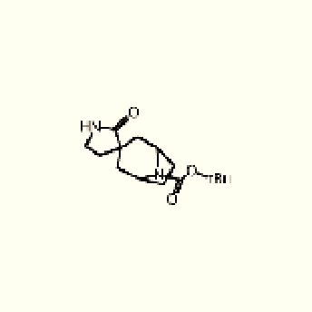 CC(C)(C)OC(=O)N1C2CCC1CC1(CCNC1=O)C2